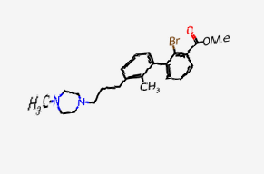 COC(=O)c1cccc(-c2cccc(CCCN3CCN(C)CC3)c2C)c1Br